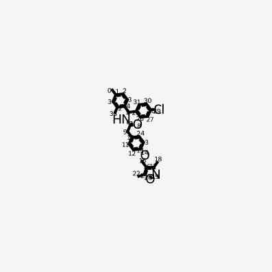 Cc1ccc(C(NC(=O)Cc2ccc(OCc3c(C)noc3C)cc2)c2ccc(Cl)cc2)c(C)c1